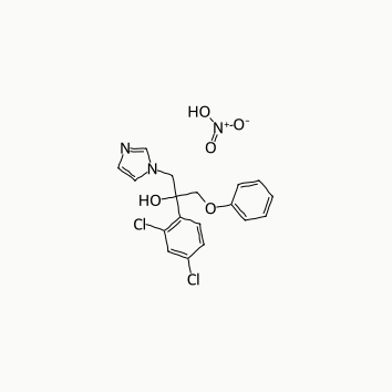 O=[N+]([O-])O.OC(COc1ccccc1)(Cn1ccnc1)c1ccc(Cl)cc1Cl